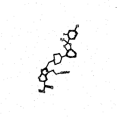 COCCn1c(CN2CCC(c3cccc4c3OC(C)(c3ccc(Cl)cc3F)O4)CC2)nc2ncc(C(=O)OC)cc21